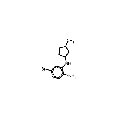 CC1CCC(Nc2cc(Br)ncc2N)C1